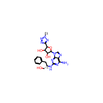 CCn1nnc(C2OC(n3cnc4c(N)nc(N[C@H](CO)Cc5ccccc5)nc43)C(O)C2O)n1